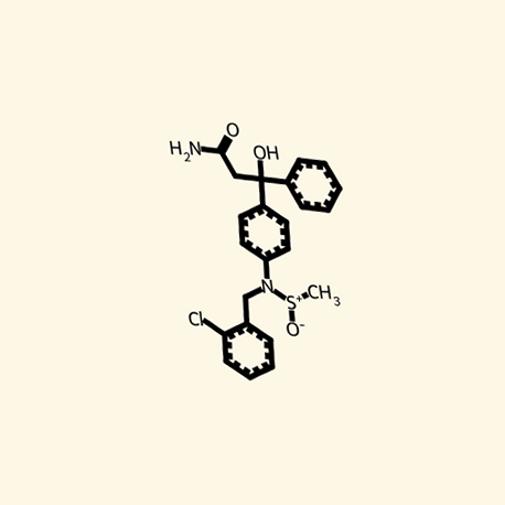 C[S+]([O-])N(Cc1ccccc1Cl)c1ccc(C(O)(CC(N)=O)c2ccccc2)cc1